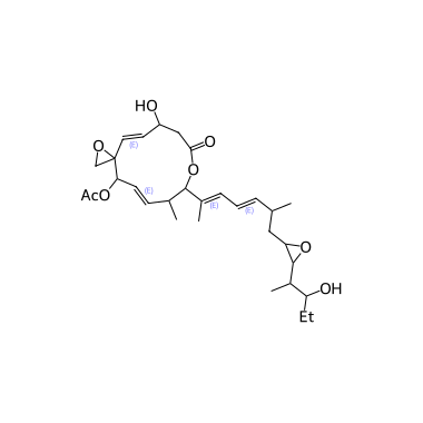 CCC(O)C(C)C1OC1CC(C)/C=C/C=C(\C)C1OC(=O)CC(O)/C=C/C2(CO2)C(OC(C)=O)/C=C/C1C